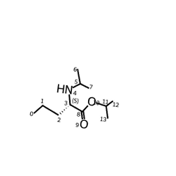 CCC[C@H](NC(C)C)C(=O)OC(C)C